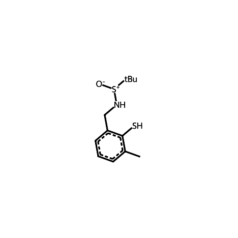 Cc1cccc(CN[S+]([O-])C(C)(C)C)c1S